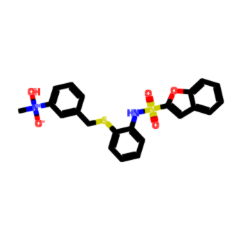 C[N+]([O-])(O)c1cccc(CSc2ccccc2NS(=O)(=O)c2cc3ccccc3o2)c1